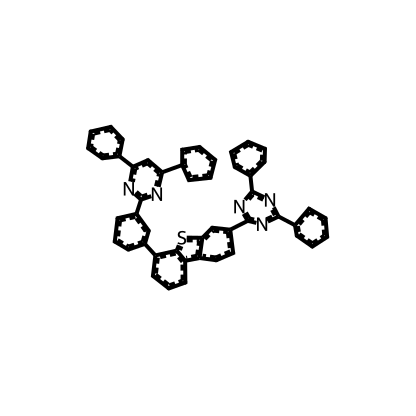 c1ccc(-c2cc(-c3ccccc3)nc(-c3cccc(-c4cccc5c4sc4cc(-c6nc(-c7ccccc7)nc(-c7ccccc7)n6)ccc45)c3)n2)cc1